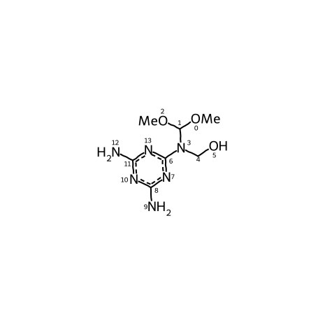 COC(OC)N(CO)c1nc(N)nc(N)n1